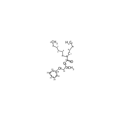 CCCCCCC(CCCC)C(=O)OC(C)COc1ccccc1